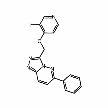 Ic1cnccc1OCc1nnc2ccc(-c3ccccc3)nn12